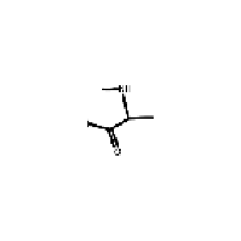 CNC(C)C(=O)I